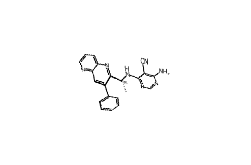 C[C@@H](Nc1ncnc(N)c1C#N)c1nc2cccnc2cc1-c1ccccc1